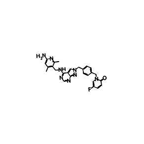 Cc1cc(N)nc(C)c1CNc1ncnc2nn(Cc3ccc(Cn4cc(F)ccc4=O)cc3)cc12